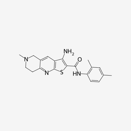 Cc1ccc(NC(=O)c2sc3nc4c(cc3c2N)CN(C)CC4)c(C)c1